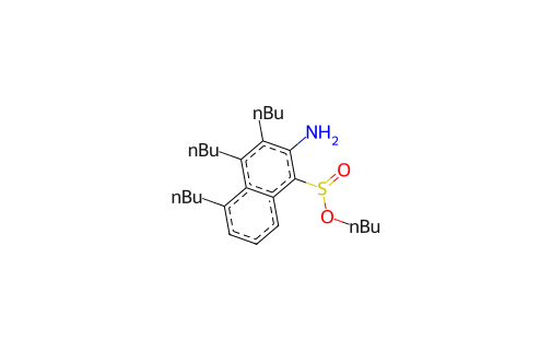 CCCCOS(=O)c1c(N)c(CCCC)c(CCCC)c2c(CCCC)cccc12